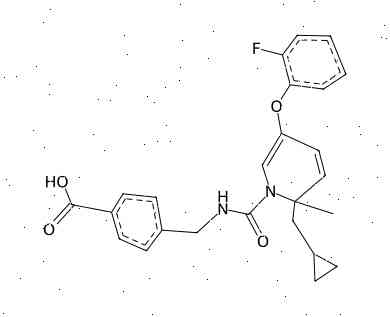 CC1(CC2CC2)C=CC(Oc2ccccc2F)=CN1C(=O)NCc1ccc(C(=O)O)cc1